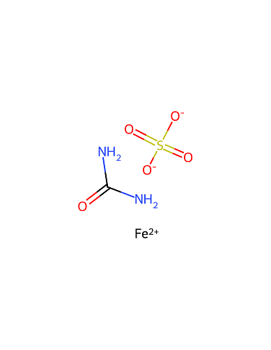 NC(N)=O.O=S(=O)([O-])[O-].[Fe+2]